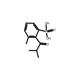 Cc1cccc(P(=O)(O)O)c1C(=O)C(C)C